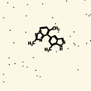 Cc1nc2c(-c3cc(C)c4[nH]ncc4c3)c(C)ccn2n1